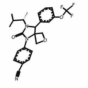 CC(C)[C@H](C)N1C(=O)N(c2ccc(C#N)cc2)C2(COC2)C1c1cccc(OC(F)(F)F)c1